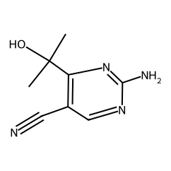 CC(C)(O)c1nc(N)ncc1C#N